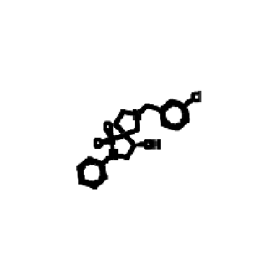 O=S1(=O)N(c2ccccc2)C[C@H](O)[C@]12CCN(Cc1cccc(Cl)c1)C2